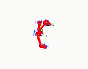 Cn1ncc(-c2ncnc(N[C@H]3CC[C@H](NCCCCCCCCN(C(=O)NCc4cc5c(s4)C(=O)N(C4CCC(=O)NC4=O)C5)c4nc(N[C@H]5CC[C@H](NCCOCCOCCOCCOCCNc6cccc7c6C(=O)N(C6CCC(=O)NC6=O)C7=O)CC5)nc(-c5cnn(C)c5CC5CC5)c4Cl)CC3)n2)c1CC1CC1